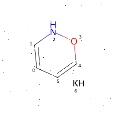 C1=CNOC=C1.[KH]